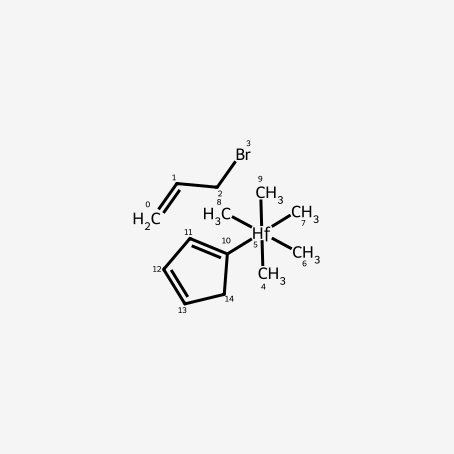 C=CCBr.[CH3][Hf]([CH3])([CH3])([CH3])([CH3])[C]1=CC=CC1